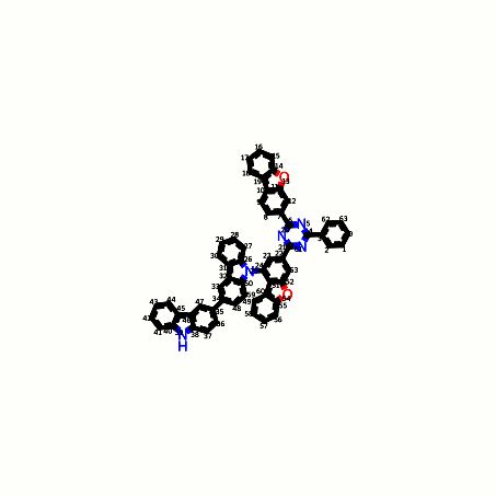 c1ccc(-c2nc(-c3ccc4c(c3)oc3ccccc34)nc(-c3cc(-n4c5ccccc5c5cc(-c6ccc7[nH]c8ccccc8c7c6)ccc54)c4c(c3)oc3ccccc34)n2)cc1